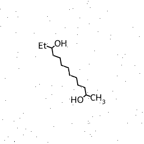 CCC(O)CCCCCCCCC(C)O